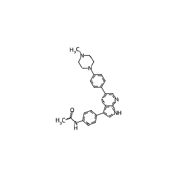 CC(=O)Nc1ccc(-c2c[nH]c3ncc(-c4ccc(N5CCN(C)CC5)cc4)cc23)cc1